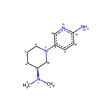 CN(C)[C@H]1CCCN(c2ccc(N)nc2)C1